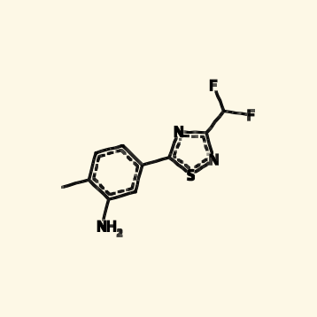 Cc1ccc(-c2nc(C(F)F)ns2)cc1N